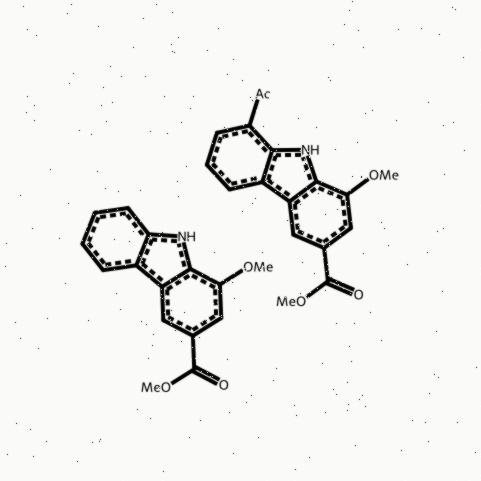 COC(=O)c1cc(OC)c2[nH]c3c(C(C)=O)cccc3c2c1.COC(=O)c1cc(OC)c2[nH]c3ccccc3c2c1